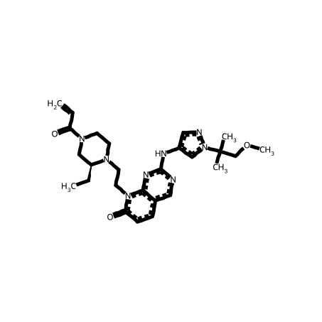 C=CC(=O)N1CCN(CCn2c(=O)ccc3cnc(Nc4cnn(C(C)(C)COC)c4)nc32)[C@@H](CC)C1